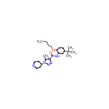 CCCCOc1ccc(C(C)(C)C)cc1NC(=O)c1nnn(-c2ccncc2)c1C